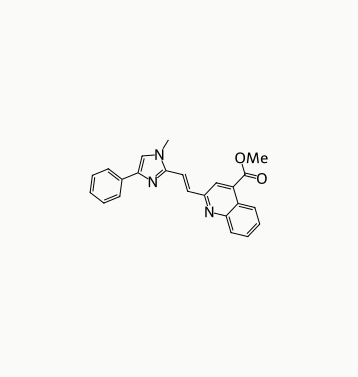 COC(=O)c1cc(/C=C/c2nc(-c3ccccc3)cn2C)nc2ccccc12